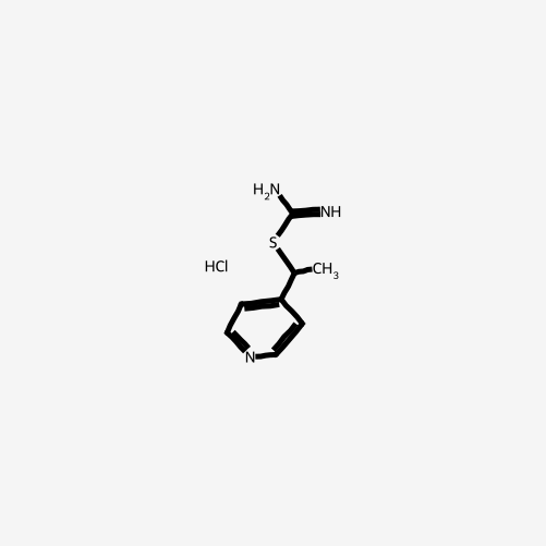 CC(SC(=N)N)c1ccncc1.Cl